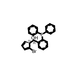 O[C@@H](c1ccccc1P(c1ccccc1)c1ccccc1)[C@@H]1C=CC=C1Br